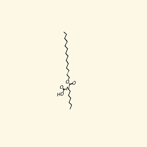 CCCCCCCCCCCCCCOC(=O)N(CCCCCC)C(=O)O